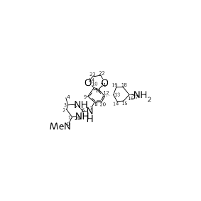 CNC1CC(C)NC(Nc2cc3c(c([C@H]4CC[C@H](N)CC4)c2)OCCO3)N1